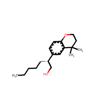 CCCCC[C@@H](CO)c1ccc2c(c1)C(C)(C)CCO2